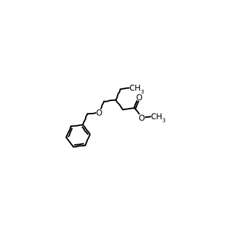 CCC(COCc1ccccc1)CC(=O)OC